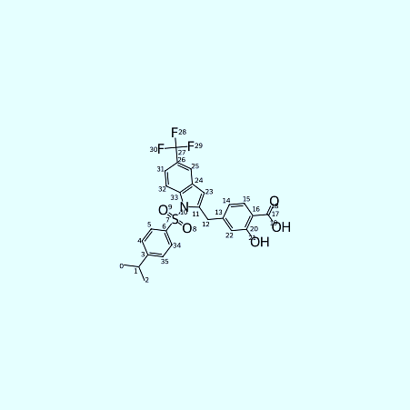 CC(C)c1ccc(S(=O)(=O)n2c(Cc3ccc(C(=O)O)c(O)c3)cc3cc(C(F)(F)F)ccc32)cc1